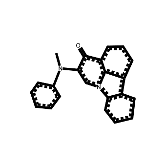 CN(c1ccccc1)c1cn2c3ccccc3c3cccc(c1=O)c32